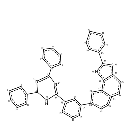 c1ccc(C2=NC(c3ccccc3)NC(c3cccc(-c4ccc5ccc6sc(-c7ccccc7)nc6c5c4)c3)=N2)cc1